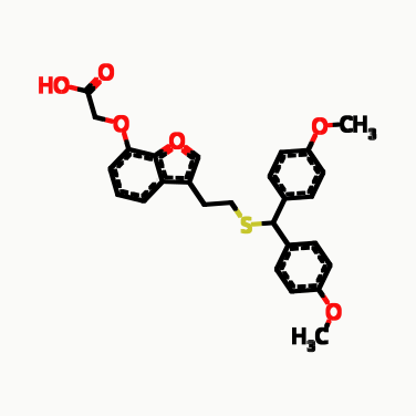 COc1ccc(C(SCCc2coc3c(OCC(=O)O)cccc23)c2ccc(OC)cc2)cc1